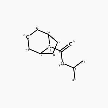 CC(C)OC(=O)N1C2CCC1COC2